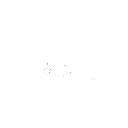 CCCSCCCN1CC[C@@H](CC[C@@H](F)c2ccnc3ccc(OC)cc23)[C@@H](CC(=O)O)C1